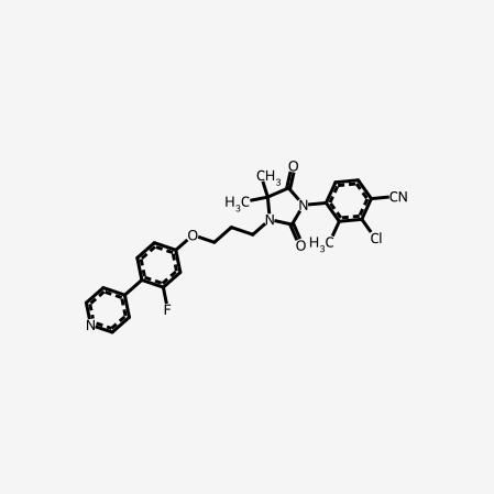 Cc1c(N2C(=O)N(CCCOc3ccc(-c4ccncc4)c(F)c3)C(C)(C)C2=O)ccc(C#N)c1Cl